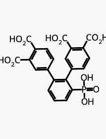 O=C(O)c1ccc(-c2cccc(P(=O)(O)O)c2-c2ccc(C(=O)O)c(C(=O)O)c2)cc1C(=O)O